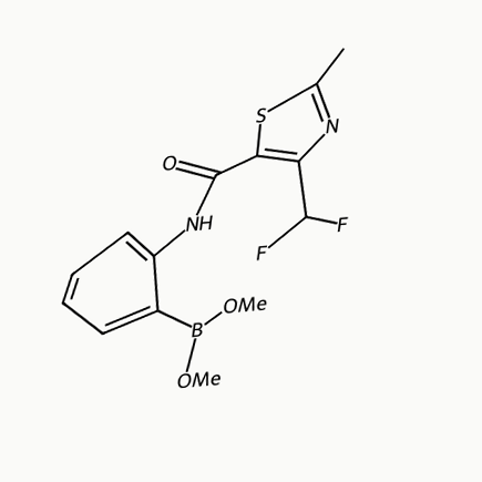 COB(OC)c1ccccc1NC(=O)c1sc(C)nc1C(F)F